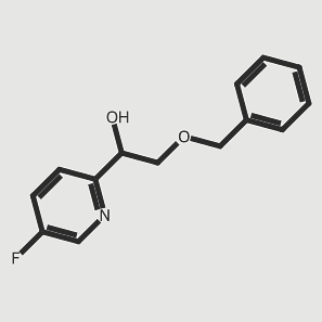 OC(COCc1ccccc1)c1ccc(F)cn1